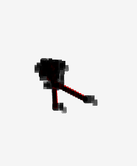 CCCCCCCCCCCCC/C=C/[C@@H](O)[C@H](CO[C@@H]1OC(CO)[C@@H](O[C@@H]2OC(CO)[C@H](O[C@@H]3OC(CO)[C@H](O)[C@H](O)C3NC(C)=O)[C@H](O[C@]3(C(=O)O)CC(O)[C@@H](NC(=O)CO)C([C@H](O)[C@H](O)CO)O3)C2O)[C@H](O)C1O)NC(=O)CCCCCCCCCCCCCCCCCCCCCCC